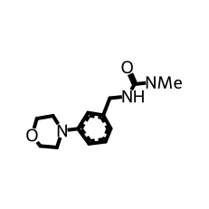 CNC(=O)NCc1cccc(N2CCOCC2)c1